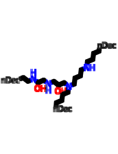 CCCCCCCCCCCCCCNCCCCN(CCCCCCCCCCCCCC)CC(O)CNCC(O)NCCCCCCCCCCCC